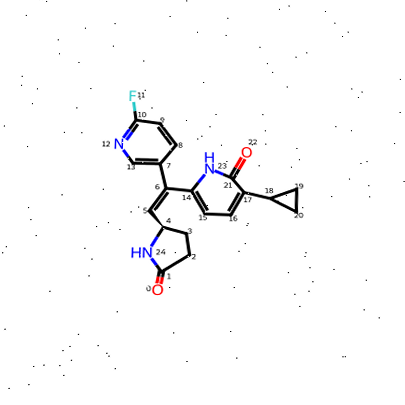 O=C1CC[C@H](/C=C(/c2ccc(F)nc2)c2ccc(C3CC3)c(=O)[nH]2)N1